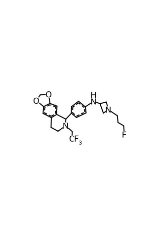 FCCCN1CC(Nc2ccc(C3c4cc5c(cc4CCN3CC(F)(F)F)OCO5)cc2)C1